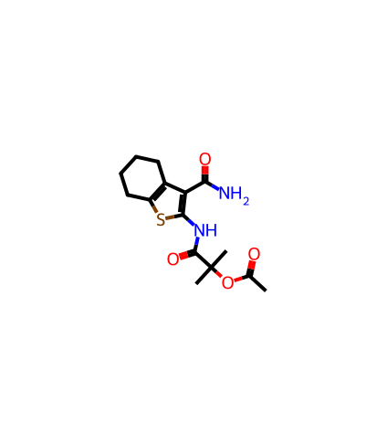 CC(=O)OC(C)(C)C(=O)Nc1sc2c(c1C(N)=O)CCCC2